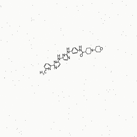 Cc1cccc(-c2nccc(Nc3ccnc(Nc4ccc(NC(=O)C5CCN(C6CCOCC6)CC5)cc4)n3)n2)n1